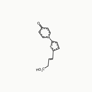 O=C(O)CC=Cc1ccc(-n2ccc(=O)cc2)s1